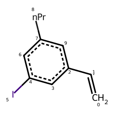 C=[C]c1cc(I)cc(CCC)c1